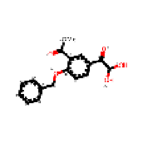 COC(=O)c1cc(C(=O)C(O)O)ccc1OCc1ccccc1